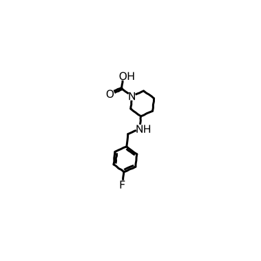 O=C(O)N1CCCC(NCc2ccc(F)cc2)C1